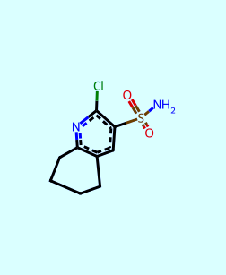 NS(=O)(=O)c1cc2c(nc1Cl)CCCC2